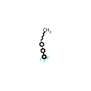 CCCCCCC[C@H]1CC[C@H](C2=CCC(c3cc(F)c(F)c(F)c3)C=C2)CC1